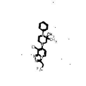 CC1(C)CN(c2ccn3c(CC(F)(F)F)nnc3c2Cl)CCN1c1ccccc1